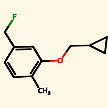 Cc1ccc(CF)cc1OCC1CC1